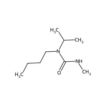 CCCCN(C(=O)NC)C(C)C